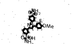 COc1ccc(-c2cc(-c3cccc(N(O)C(N)=O)c3)nn2-c2ccc(S(N)(=O)=O)cc2)cc1F